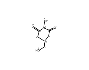 CC(C)N1C(=O)CN(CO)CC1=O